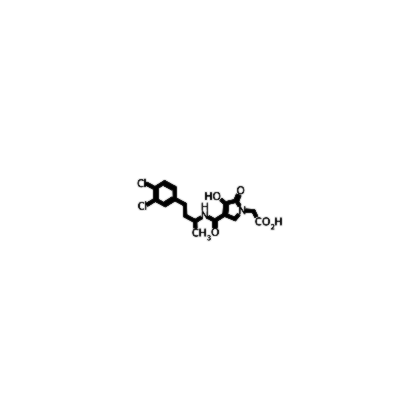 CC(CCc1ccc(Cl)c(Cl)c1)NC(=O)C1=C(O)C(=O)N(CC(=O)O)C1